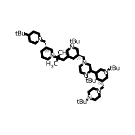 CC(C)(C)C1CCN(C[C@H]2CCCN(C(C)(C)CC3C[C@H](CN4CCN(C(C)(C)C)C(C5C[C@@H](CN6CCN(C(C)(C)C)CC6)CN(C(C)(C)C)C5)C4)CN(C(C)(C)C)C3)C2)CC1